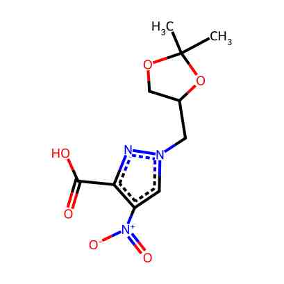 CC1(C)OCC(Cn2cc([N+](=O)[O-])c(C(=O)O)n2)O1